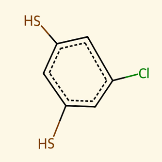 Sc1cc(S)cc(Cl)c1